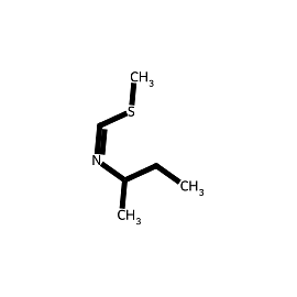 CCC(C)/N=C\SC